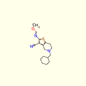 CO/C=N/c1sc2c(c1C#N)CN(CC1CCCCC1)CC2